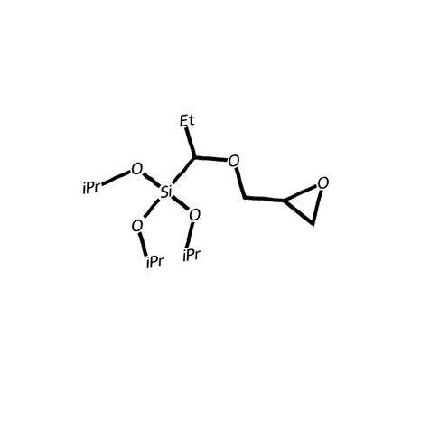 CCC(OCC1CO1)[Si](OC(C)C)(OC(C)C)OC(C)C